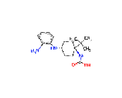 CC(C)(C)[C@]1(NC(=O)O)CC[C@H](Nc2ccccc2N)CC1